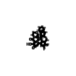 O=C1c2c(O)c(=O)ccn2N([C@@H]2c3cc4c(cc3SCc3c2ccc(F)c3F)C2CCC4CC2)[C@@H]2COCCN12